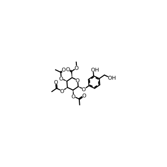 COC(=O)[C@H]1O[C@@H](Oc2ccc(CO)c(O)c2)[C@@H](OC(C)=O)[C@@H](OC(C)=O)[C@H]1OC(C)=O